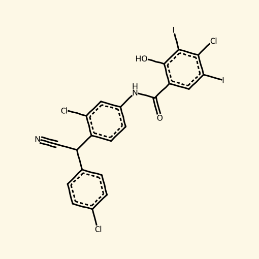 N#CC(c1ccc(Cl)cc1)c1ccc(NC(=O)c2cc(I)c(Cl)c(I)c2O)cc1Cl